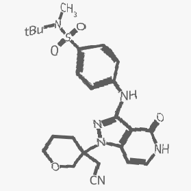 CN(C(C)(C)C)S(=O)(=O)c1ccc(Nc2nn(C3(CC#N)CCCOC3)c3cc[nH]c(=O)c23)cc1